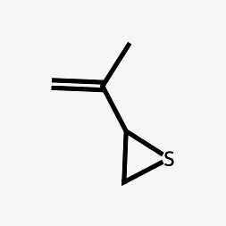 C=C(C)C1CS1